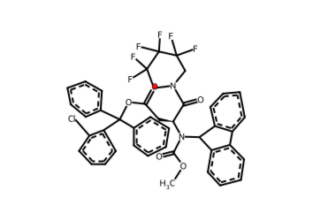 COC(=O)N(C1c2ccccc2-c2ccccc21)[C@@H](CC(=O)OC(c1ccccc1)(c1ccccc1)c1ccccc1Cl)C(=O)N1CC(F)(F)C(F)(F)C(F)(F)C1